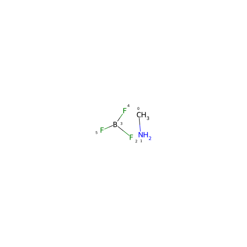 CN.FB(F)F